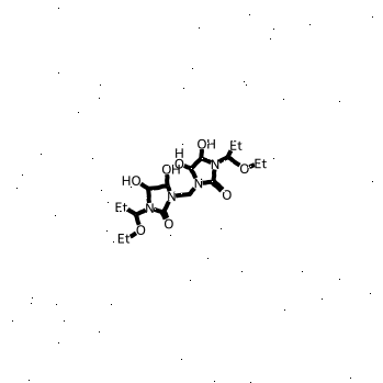 CCOC(CC)N1C(=O)N(CN2C(=O)N(C(CC)OCC)C(O)C2O)C(O)C1O